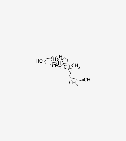 C#CCCC(C)CCCC(C)[C@H]1CC[C@H]2[C@@H]3CC=C4C[C@@H](O)CC[C@]4(C)[C@H]3CC[C@]12C